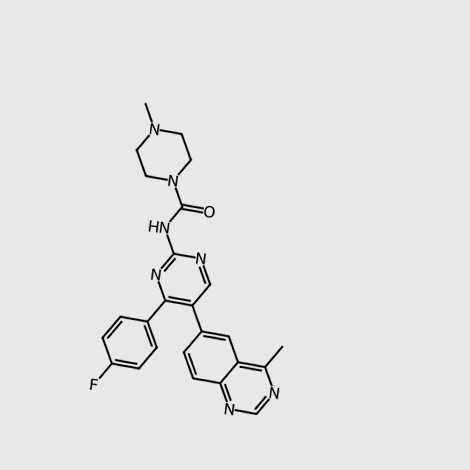 Cc1ncnc2ccc(-c3cnc(NC(=O)N4CCN(C)CC4)nc3-c3ccc(F)cc3)cc12